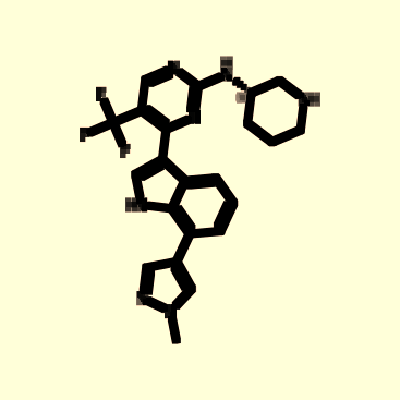 Cn1cc(-c2cccc3c(-c4nc(N[C@H]5CCCNC5)ncc4C(F)(F)F)c[nH]c23)cn1